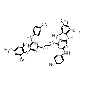 Cc1cc(C)c(Nc2nc(NCCNc3nc(Nc4ccc(C#N)cc4)nc(Nc4c(Br)cc(C)cc4Br)n3)nc(Nc3ccc(C#N)cc3)n2)c(C)c1